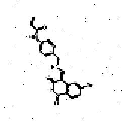 C=CC(=O)Nc1ccc(CN/C=C2\C(=O)NC(=O)c3ccc(Br)cc32)cc1